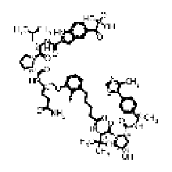 Cc1ncsc1-c1ccc([C@H](C)NC(=O)[C@@H]2C[C@@H](O)CN2C(=O)[C@@H](NC(=O)CCCCc2cccc(OC[C@H](CCC(N)=O)NC(=O)[C@@H]3CCCN3C(=O)[C@H](CC(C)C)NC(=O)c3cc4cc(C(=O)P(=O)(O)O)ccc4[nH]3)c2F)C(C)(C)C)cc1